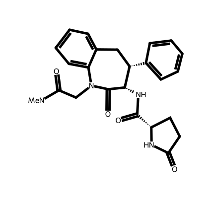 CNC(=O)CN1C(=O)[C@@H](NC(=O)[C@@H]2CCC(=O)N2)[C@@H](c2ccccc2)Cc2ccccc21